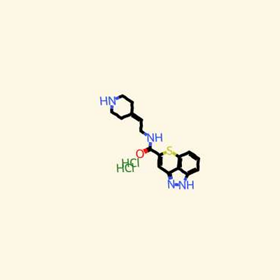 Cl.Cl.O=C(NCC=C1CCNCC1)C1=Cc2n[nH]c3cccc(c23)S1